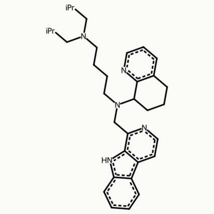 CC(C)CN(CCCCN(Cc1nccc2c1[nH]c1ccccc12)C1CCCc2cccnc21)CC(C)C